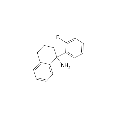 NC1(c2ccccc2F)CCCc2ccccc21